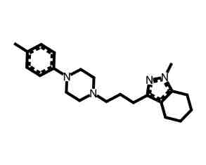 Cc1ccc(N2CCN(CCCc3nn(C)c4c3CCCC4)CC2)cc1